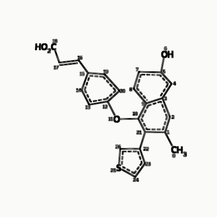 Cc1cc2cc(O)ccc2c(Oc2ccc(C=CC(=O)O)cc2)c1-c1ccsc1